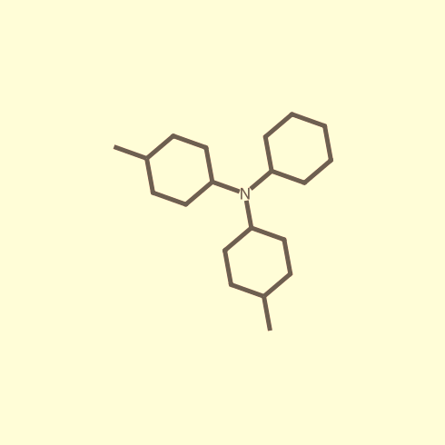 CC1CCC(N(C2CCCCC2)C2CCC(C)CC2)CC1